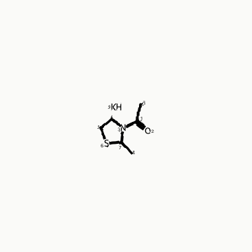 CC(=O)N1CCSC1C.[KH]